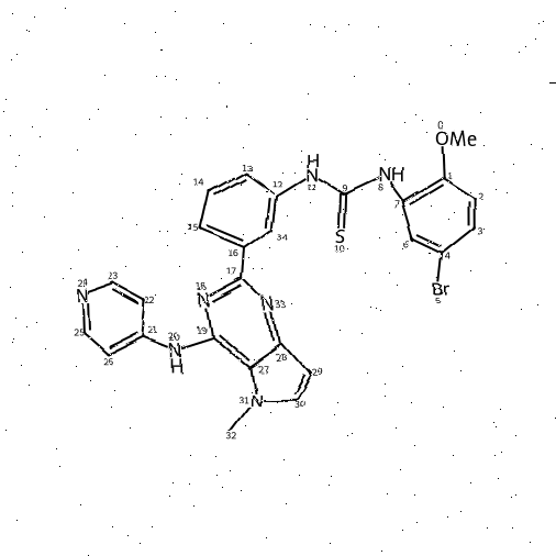 COc1ccc(Br)cc1NC(=S)Nc1cccc(-c2nc(Nc3ccncc3)c3c(ccn3C)n2)c1